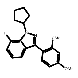 COc1ccc(-c2nn(C3CCCC3)c3c(F)cccc23)c(OC)c1